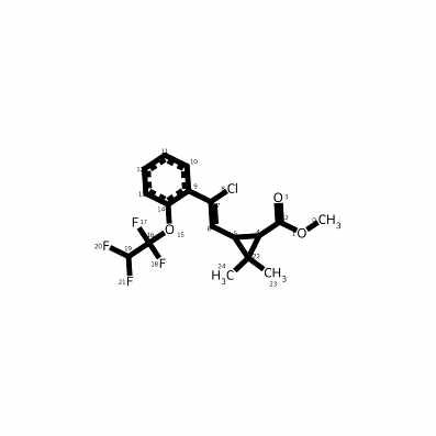 COC(=O)C1C(C=C(Cl)c2ccccc2OC(F)(F)C(F)F)C1(C)C